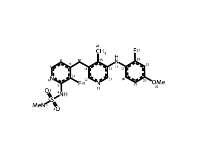 CNS(=O)(=O)Nc1nccc(Cc2cncc(Nc3ccc(OC)cc3F)c2C)c1F